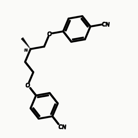 C[C@@H](CCOc1ccc(C#N)cc1)COc1ccc(C#N)cc1